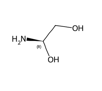 N[C@H](O)CO